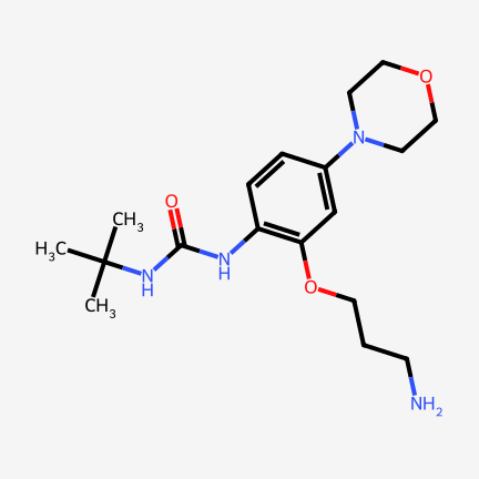 CC(C)(C)NC(=O)Nc1ccc(N2CCOCC2)cc1OCCCN